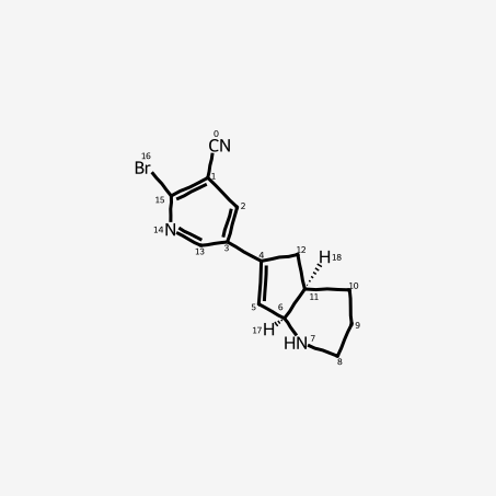 N#Cc1cc(C2=C[C@@H]3NCCC[C@@H]3C2)cnc1Br